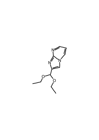 CCOC(OCC)c1cn2cccnc2n1